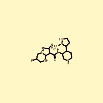 CN1NCCC1C1CCNCC1NC(=O)C1C(N)NN2CC(F)CNC12